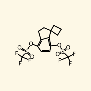 O=S(=O)(Oc1ccc(OS(=O)(=O)C(F)(F)F)c2c1CCC21CCC1)C(F)(F)F